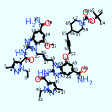 CCn1nc(C)cc1C(=O)Nc1nc2cc(C(N)=O)cc(OC)c2n1C/C=C/Cn1c(NC(=O)c2cc(C)nn2CC)nc2cc(C(N)=O)cc(OCC#CCC3CCN(C(=O)OC(C)(C)C)CC3)c21